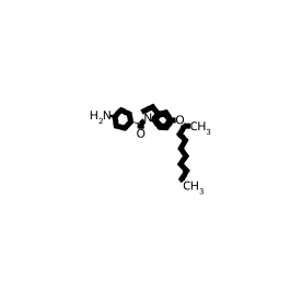 CCCCCCCCC(C)Oc1ccc2c(c1)CCN2C(=O)[C@H]1CC[C@H](N)CC1